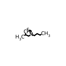 CCCCN(C=S)CC(C)C